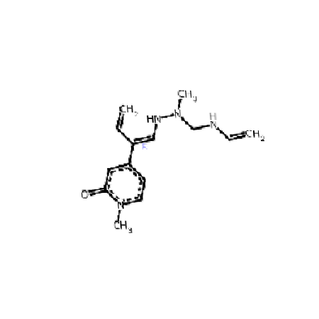 C=CNCN(C)N/C=C(\C=C)c1ccn(C)c(=O)c1